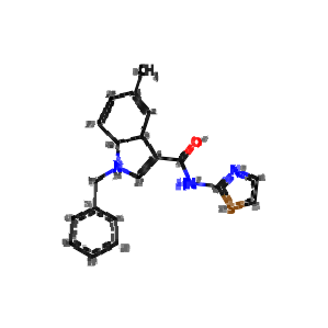 CC1=CC2C(C(=O)Nc3nccs3)=CN(Cc3ccccc3)C2C=C1